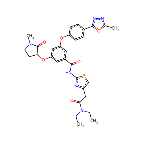 CCN(CC)C(=O)Cc1csc(NC(=O)c2cc(Oc3ccc(-c4nnc(C)o4)cc3)cc(OC3CCN(C)C3=O)c2)n1